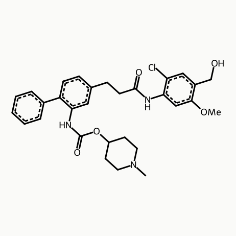 COc1cc(NC(=O)CCc2ccc(-c3ccccc3)c(NC(=O)OC3CCN(C)CC3)c2)c(Cl)cc1CO